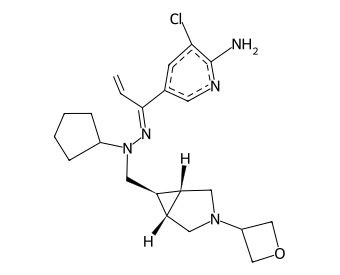 C=C/C(=N\N(C[C@H]1[C@@H]2CN(C3COC3)C[C@@H]21)C1CCCC1)c1cnc(N)c(Cl)c1